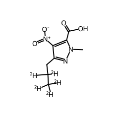 [2H]C([2H])([2H])C([2H])([2H])Cc1nn(C)c(C(=O)O)c1[N+](=O)[O-]